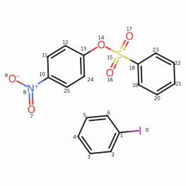 Ic1ccccc1.O=[N+]([O-])c1ccc(OS(=O)(=O)c2ccccc2)cc1